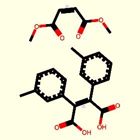 COC(=O)/C=C\C(=O)OC.Cc1cccc(/C(C(=O)O)=C(/C(=O)O)c2cccc(C)c2)c1